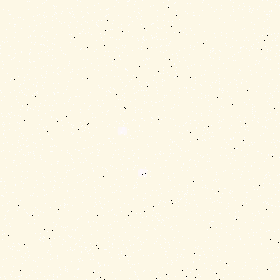 C/C=C/C=C(/C)CC